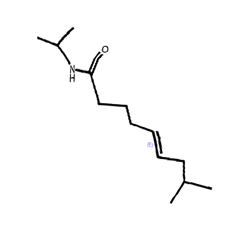 CC(C)C/C=C/CCCC(=O)NC(C)C